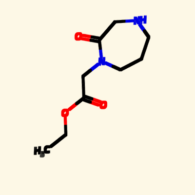 CCOC(=O)CN1CCCNCC1=O